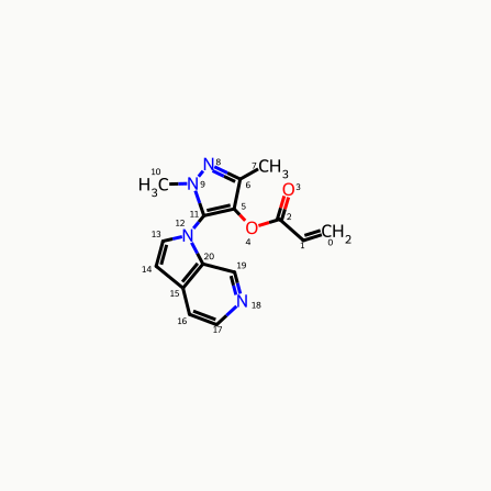 C=CC(=O)Oc1c(C)nn(C)c1-n1ccc2ccncc21